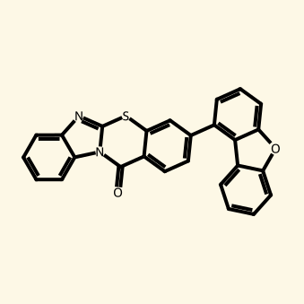 O=c1c2ccc(-c3cccc4oc5ccccc5c34)cc2sc2nc3ccccc3n12